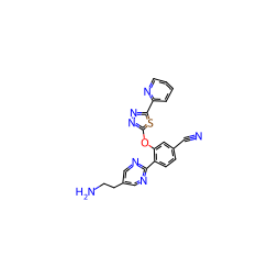 N#Cc1ccc(-c2ncc(CCN)cn2)c(Oc2nnc(-c3ccccn3)s2)c1